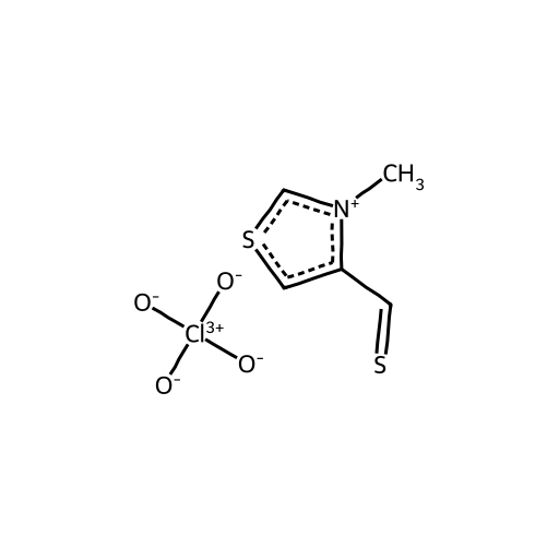 C[n+]1cscc1C=S.[O-][Cl+3]([O-])([O-])[O-]